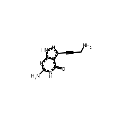 NCC#Cc1n[nH]c2nc(N)[nH]c(=O)c12